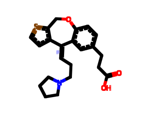 O=C(O)CCc1ccc2c(c1)/C(=C\CCN1CCCC1)c1ccsc1CO2